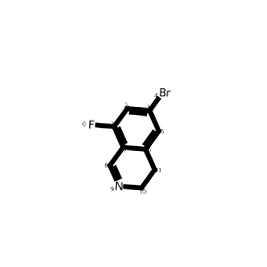 Fc1cc(Br)cc2c1C=NCC2